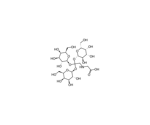 O=C(O)CNCC(O[C@@H]1O[C@H](CO)[C@H](O)[C@H](O)[C@H]1O)(O[C@@H]1O[C@H](CO)[C@H](O)[C@H](O)[C@H]1O)O[C@@H]1O[C@H](CO)[C@H](O)[C@H](O)[C@H]1O